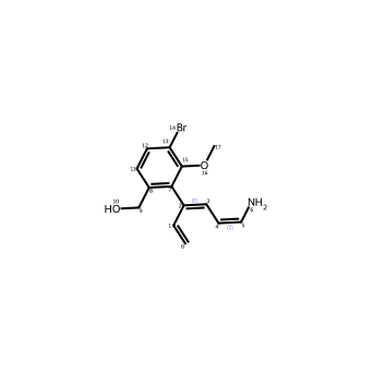 C=C/C(=C\C=C/N)c1c(CO)ccc(Br)c1OC